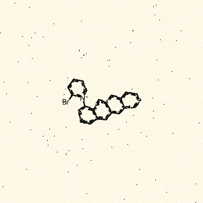 Brc1cccc[n+]1-c1cccc2cc3cc4ccccc4cc3cc12